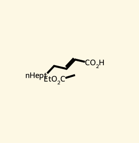 CCCCCCCCC=CC(=O)O.CCOC(C)=O